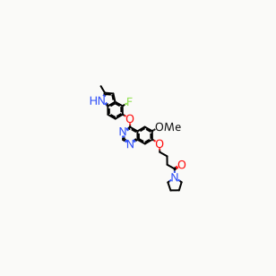 COc1cc2c(Oc3ccc4[nH]c(C)cc4c3F)ncnc2cc1OCCCC(=O)N1CCCC1